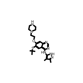 Cc1n[nH]c(Nc2ncnc3cc(OCCN4CCNCC4)c(SC(C)(C)C)cc23)c1C